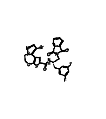 O=C(N[C@@H](Cc1cc(F)cc(F)c1)CN1C(=O)c2ccccc2C1=O)c1cc2c(s1)OCCn1ncc(Br)c1-2